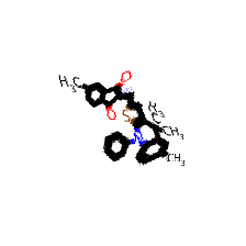 Cc1ccc2c(c1)C(=O)/C(=C/c1cc3c(s1)N(c1ccccc1)c1ccc(C)cc1C3(C)C)C2=O